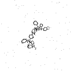 CCC(=O)N(c1ccccc1)c1ccc(N2CCN(C(C(=O)Nc3ccc4c(c3)CCC4)c3ccccc3)CC2)cc1